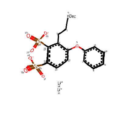 CCCCCCCCCCCCc1c(Oc2ccccc2)ccc(S(=O)(=O)[O-])c1S(=O)(=O)[O-].[Li+].[Li+]